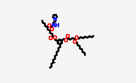 CCC[CH]CCCCCCCCc1cc(COC(=O)CCC(CCCCCC)OC(=O)NCCN2CCCC2)cc(COC(=O)CCC(OCCCCCCCC)OCCCCCCCC)c1